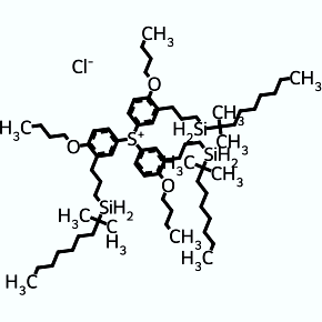 CCCCCCCC(C)(C)[SiH2]CCCc1cc([S+](c2ccc(OCCCC)c(CCC[SiH2]C(C)(C)CCCCCCC)c2)c2ccc(OCCCC)c(CCC[SiH2]C(C)(C)CCCCCCC)c2)ccc1OCCCC.[Cl-]